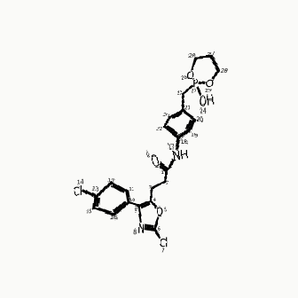 O=C(CCc1oc(Cl)nc1-c1ccc(Cl)cc1)Nc1ccc(C[P]2(O)OCCCO2)cc1